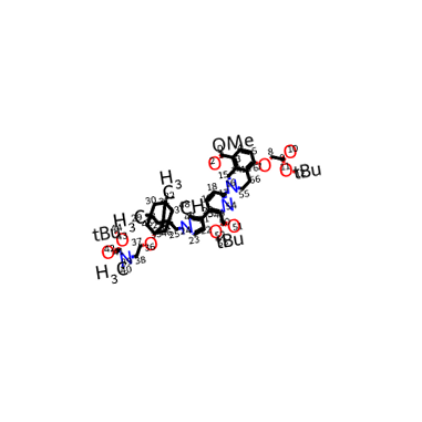 COC(=O)c1ccc(OCC(=O)OC(C)(C)C)c2c1CN(c1ccc(-c3ccn(CC45CC6(C)CC(C)(C4)CC(OCCN(C)C(=O)OC(C)(C)C)(C6)C5)c3C)c(C(=O)OC(C)(C)C)n1)CC2